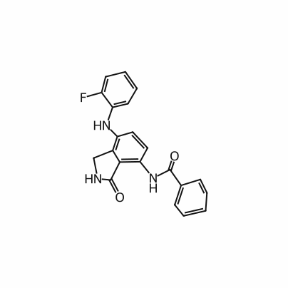 O=C(Nc1ccc(Nc2ccccc2F)c2c1C(=O)NC2)c1ccccc1